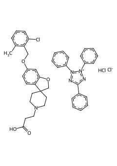 Cc1cccc(Cl)c1COc1ccc2c(c1)OCC21CCN(CCC(=O)O)CC1.Cl.[Cl-].c1ccc(-c2nn(-c3ccccc3)[n+](-c3ccccc3)n2)cc1